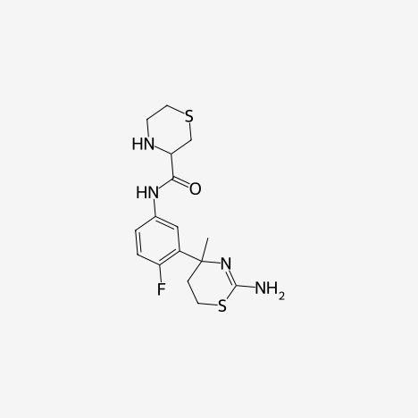 CC1(c2cc(NC(=O)C3CSCCN3)ccc2F)CCSC(N)=N1